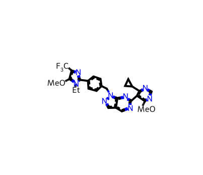 CCn1c(-c2ccc(Cn3ncc4cnc(-c5c(OC)ncnc5C5CC5)nc43)cc2)nc(C(F)(F)F)c1OC